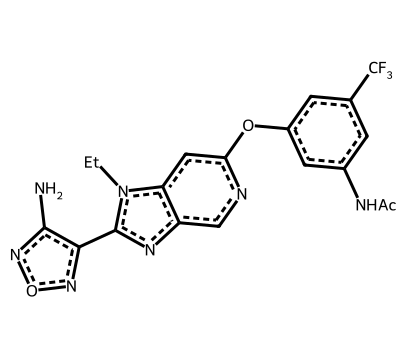 CCn1c(-c2nonc2N)nc2cnc(Oc3cc(NC(C)=O)cc(C(F)(F)F)c3)cc21